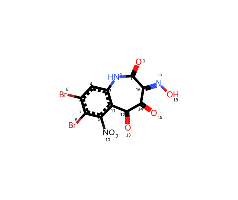 O=C1Nc2cc(Br)c(Br)c([N+](=O)[O-])c2C(=O)C(=O)C1=NO